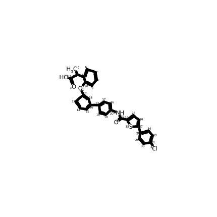 CC(C(=O)O)c1ccccc1Oc1cccc(-c2ccc(NC(=O)c3ccc(-c4ccc(Cl)cc4)s3)cc2)c1